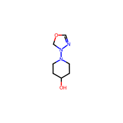 OC1CCN(N2COC=N2)CC1